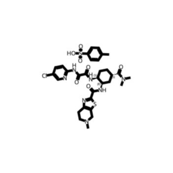 CN1CCc2nc(C(=O)N[C@@H]3C[C@@H](C(=O)N(C)C)CC[C@@H]3NC(=O)C(=O)Nc3ccc(Cl)cn3)sc2C1.Cc1ccc(S(=O)(=O)O)cc1